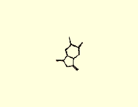 C=C1CC(=C)C2CC(C)C(C)CC12